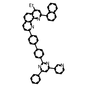 CCc1cc(-c2cccc3ccccc23)nc2c1ccc1ccc(-c3ccc(-c4ccc(-c5nc(-c6ccccc6)cc(-c6cccnc6)n5)cc4)cc3)nc12